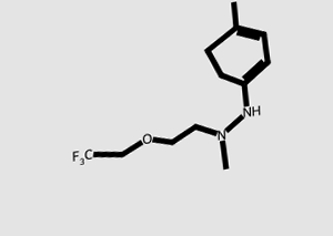 CC1=CC=C(NN(C)CCOCC(F)(F)F)CC1